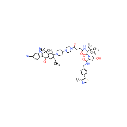 CCc1cc2c(cc1N1CCC(N3CCN(C(=O)CCC(=O)N[C@H](C(=O)N4C[C@H](O)C[C@H]4C(=O)NCc4ccc(-c5scnc5C)cc4)C(C)(C)C)CC3)CC1)C(C)(C)c1[nH]c3cc(C#N)ccc3c1C2=O